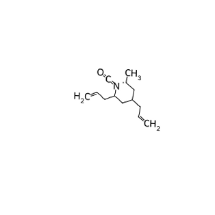 C=CCC(C[CH]C)CC(CC=C)N=C=O